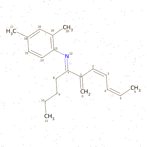 C=C(/C=C\C=C/C)/C(CCCC)=N/c1ccc(C)cc1C